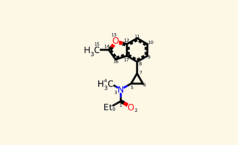 CCC(=O)N(C)C1CC1c1cccc2oc(C)cc12